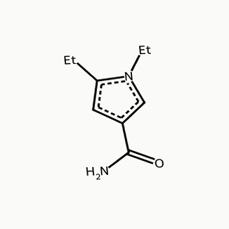 CCc1cc(C(N)=O)cn1CC